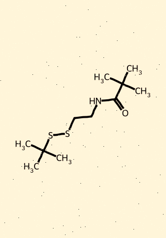 CC(C)(C)SSCCNC(=O)C(C)(C)C